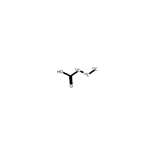 [13CH3][13CH2][13CH2]C(=O)O